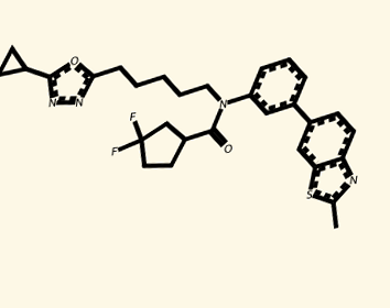 Cc1nc2ccc(-c3cccc(N(CCCCCc4nnc(C5CC5)o4)C(=O)C4CCC(F)(F)C4)c3)cc2s1